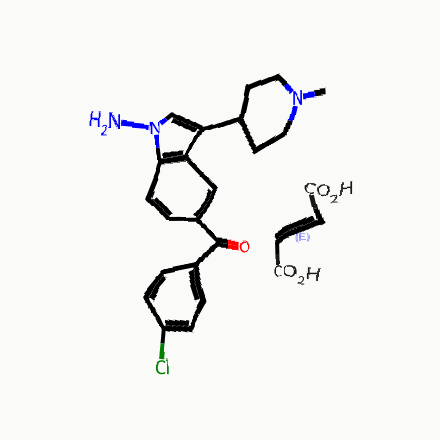 CN1CCC(c2cn(N)c3ccc(C(=O)c4ccc(Cl)cc4)cc23)CC1.O=C(O)/C=C/C(=O)O